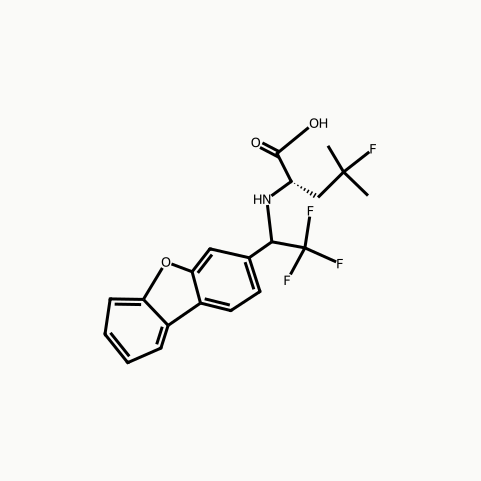 CC(C)(F)C[C@H](NC(c1ccc2c(c1)oc1ccccc12)C(F)(F)F)C(=O)O